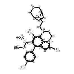 Cc1ccc(-c2c([C@H](OC(C)(C)C)C(=O)O)c(C)c3c4c2cc(C)n4CCN3CCN2C3CCC2COC3)cc1